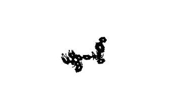 c1ccc(-c2ccc(-c3nc(-c4ccccc4)nc(-c4ccc(-c5cccc(-c6nc7ccccc7c7sc(-c8cccnc8)c(-c8cccnc8)c67)c5)cc4)n3)cc2)cc1